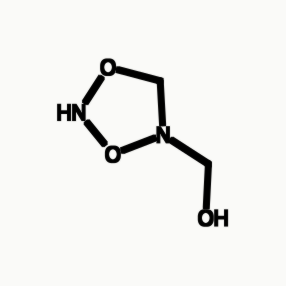 OCN1CONO1